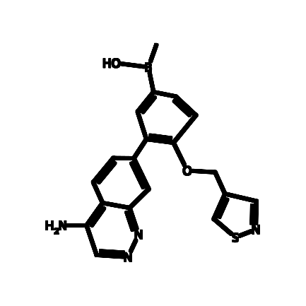 CB(O)c1ccc(OCc2cnsc2)c(-c2ccc3c(N)cnnc3c2)c1